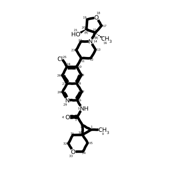 CC1C(C(=O)Nc2cc3cc(C4CCN([C@]5(C)COC[C@@H]5O)CC4)c(Cl)cc3cn2)C12CCOCC2